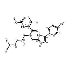 COC(=O)N[C@H](C(=O)N(Cc1ncc(-c2ccc(Br)cc2)[nH]1)C[C@H](C)COC(F)F)C(C)C